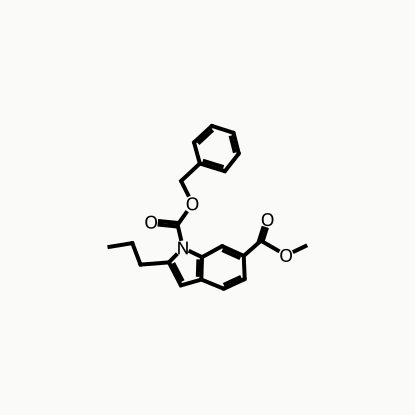 CCCc1cc2ccc(C(=O)OC)cc2n1C(=O)OCc1ccccc1